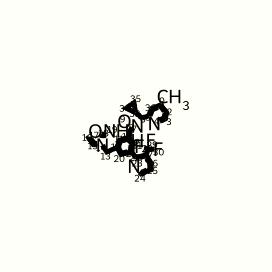 Cc1ccnc(C(NC(=O)c2cc(Cn3ccoc3=N)cc(-c3ncccc3C(F)(F)F)c2)C2CC2)c1